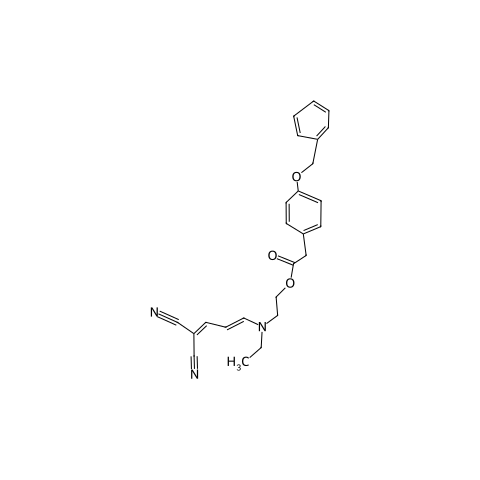 CCN(/C=C/C=C(C#N)C#N)CCOC(=O)Cc1ccc(OCc2ccccc2)cc1